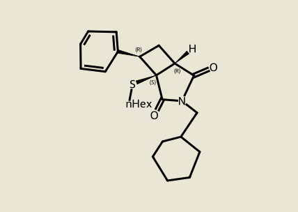 CCCCCCS[C@]12C(=O)N(CC3CCCCC3)C(=O)[C@H]1C[C@@H]2c1ccccc1